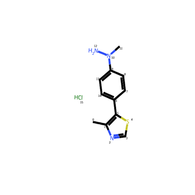 Cc1ncsc1-c1ccc(N(C)N)cc1.Cl